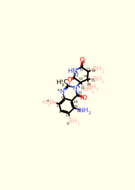 Bc1cc(B)c2nc(C)n(C3(B)C(=O)NC(=O)C(B)C3(B)B)c(=O)c2c1N